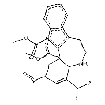 COC(=O)n1c2c(c3ccccc31)CCNC1C(C(C)F)=CC(C=O)CC21C(=O)OC